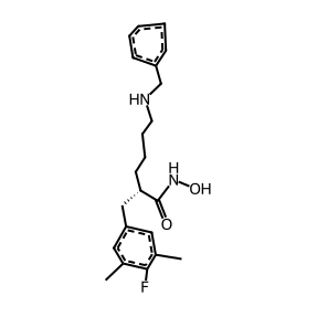 Cc1cc(C[C@H](CCCCNCc2ccccc2)C(=O)NO)cc(C)c1F